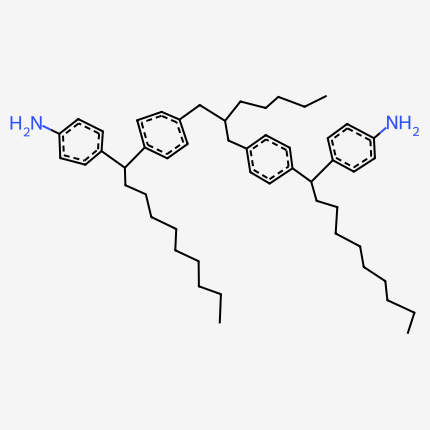 CCCCCCCCCC(c1ccc(N)cc1)c1ccc(CC(CCCCC)Cc2ccc(C(CCCCCCCCC)c3ccc(N)cc3)cc2)cc1